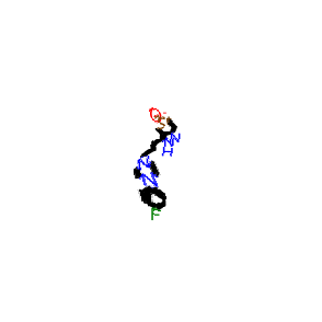 [O-][S+]1CCc2n[nH]c(CCCN3CCN(c4ccc(F)cc4)CC3)c2C1